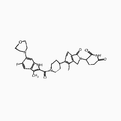 Cc1c(C(=O)N2CCC(c3ccc4c(c3F)CN(C3CCC(=O)NC3=O)C4=O)CC2)[nH]c2cc(N3CCOCC3)c(F)cc12